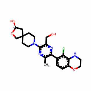 Cc1nc(N2CCC3(CC2)CO[C@@H](O)C3)c(CO)nc1-c1ccc2c(c1Cl)NCCO2